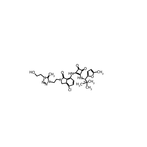 C=C1N(CCO)N=NN1CCN1Cc2c(Cl)ccc(Nc3c(N[C@@H](c4ccc(C)o4)C(C)(C)C)c(=O)c3=O)c2C1=O